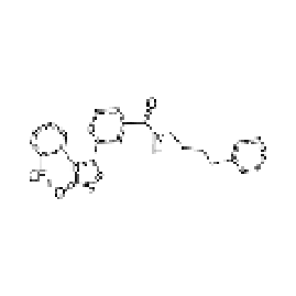 O=C(NCCCCc1ccccc1)c1cccc(-c2csc(=O)n2-c2ccccc2C(F)(F)F)c1